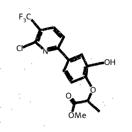 COC(=O)C(C)Oc1ccc(-c2ccc(C(F)(F)F)c(Cl)n2)cc1O